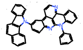 c1ccc(N2c3ccccc3-c3nccc4c3c2nc2ccc(-n3c5ccccc5c5ccc6ccccc6c53)cc24)cc1